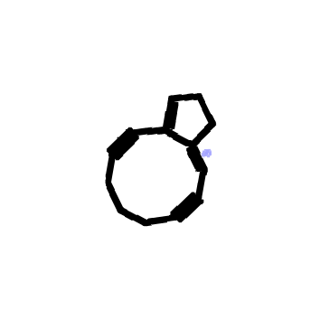 C1#CCCCC#CC2=CCC/C2=C/1